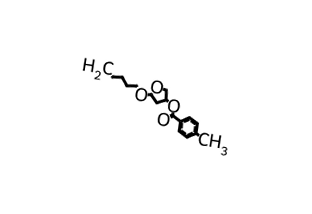 C=CCCCOC1CC(OC(=O)c2ccc(C)cc2)CO1